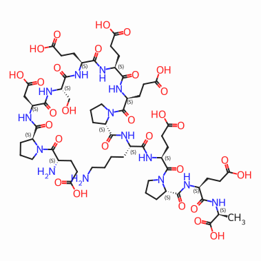 C[C@H](NC(=O)[C@H](CCC(=O)O)NC(=O)[C@@H]1CCCN1C(=O)[C@H](CCC(=O)O)NC(=O)[C@H](CCCCN)NC(=O)[C@@H]1CCCN1C(=O)[C@H](CCC(=O)O)NC(=O)[C@H](CCC(=O)O)NC(=O)[C@H](CCC(=O)O)NC(=O)[C@H](CO)NC(=O)[C@H](CC(=O)O)NC(=O)[C@@H]1CCCN1C(=O)[C@@H](N)CCC(=O)O)C(=O)O